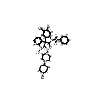 CCOc1ncccc1C1(C(=O)NN2CCN(C3CCN(CC)CC3)CC2)C(=O)N(S(=O)(=O)c2ccccc2)c2cc(F)c(Cl)cc21